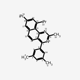 Cc1cc(C)cc(-c2nc(C)nc3c2ccc2cc(C(C)C)cc(C(C)C)c23)c1